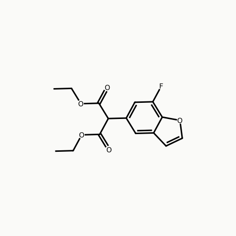 CCOC(=O)C(C(=O)OCC)c1cc(F)c2occc2c1